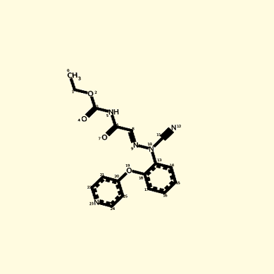 CCOC(=O)NC(=O)C=NN(C#N)c1ccccc1Oc1ccncc1